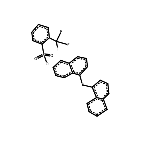 O=S(=O)([O-])c1ccccc1C(F)(F)F.c1ccc2c([I+]c3cccc4ccccc34)cccc2c1